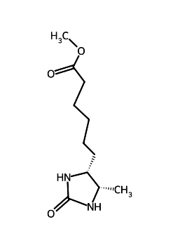 COC(=O)CCCCC[C@H]1NC(=O)N[C@H]1C